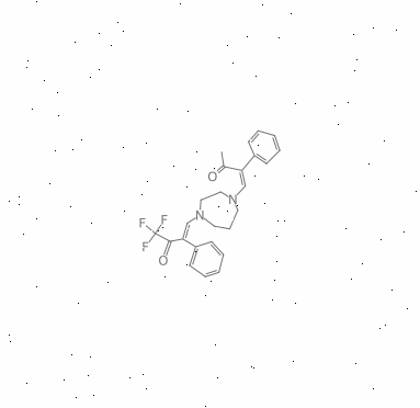 CC(=O)/C(=C\N1CCCN(/C=C(/C(=O)C(F)(F)F)c2ccccc2)CC1)c1ccccc1